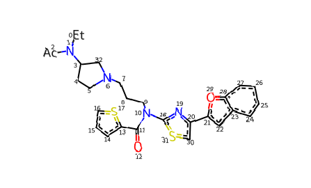 CCN(C(C)=O)C1CCN(CCCN(C(=O)c2cccs2)c2nc(-c3cc4ccccc4o3)cs2)C1